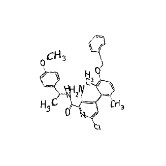 COc1ccc(C(C)NC(=O)c2nc(Cl)cc(-c3c(C)ccc(OCc4ccccc4)c3C)c2N)cc1